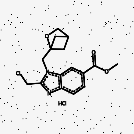 COC(=O)c1ccc2nc(CCl)n(CC34CC(CO3)C4)c2c1.Cl